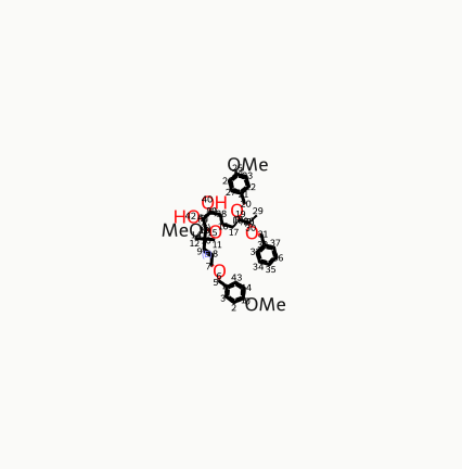 COc1ccc(COC/C=C/C(C)(C)[C@]2(OC)OC(C[C@@H](OCc3ccc(OC)cc3)[C@@H](C)OCc3ccccc3)C[C@H](O)[C@@H]2O)cc1